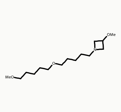 COCCCCCOCCCCCN1CC(OC)C1